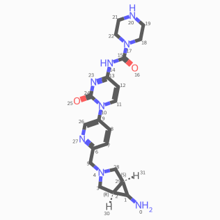 NC1[C@H]2CN(Cc3ccc(-n4ccc(NC(=O)N5CCNCC5)nc4=O)cn3)C[C@@H]12